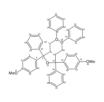 COc1ccc(C(CCOc2ccccc2)(OC(CCOc2ccccc2)(c2ccccc2)c2ccc(OC)cc2)c2ccccc2)cc1